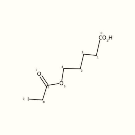 O=C(O)CCCCOC(=O)CI